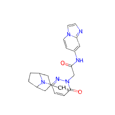 CC1CC2CCC(C1)N2c1ccc(=O)n(CC(=O)Nc2ccn3ccnc3c2)n1